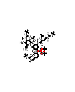 CC(=O)OC1[C@@H](O[C@@H]2C(O)C(O[C@H]3OC(CN(C)C(=O)OC(C)(C)C)CCC3NC(=O)OC(C)(C)C)[C@H](NC(=O)OC(C)(C)C)C[C@H]2NC(=O)[C@H](CCNC(=O)OC(C)(C)C)OC(C)=O)OC(CO)[C@@H](O)[C@@H]1NC(=O)OC(C)(C)C